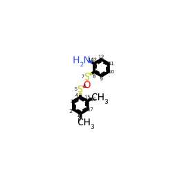 Cc1ccc(SOSc2ccccc2N)c(C)c1